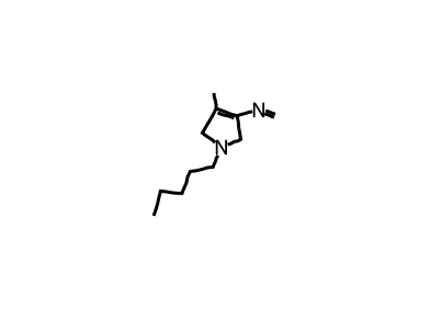 C=NC1=C(C)CN(CCCCC)C1